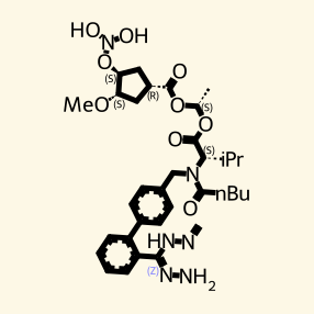 C=NN/C(=N\N)c1ccccc1-c1ccc(CN(C(=O)CCCC)[C@H](C(=O)O[C@@H](C)OC(=O)[C@@H]2C[C@H](OC)[C@@H](ON(O)O)C2)C(C)C)cc1